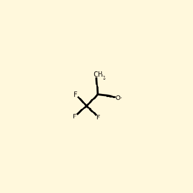 CC([O])C(F)(F)F